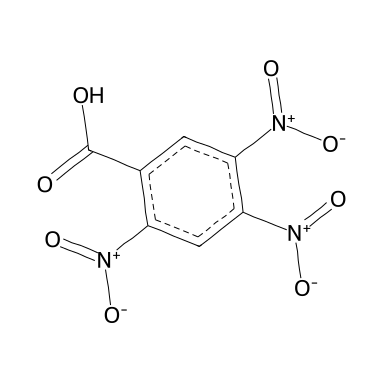 O=C(O)c1cc([N+](=O)[O-])c([N+](=O)[O-])cc1[N+](=O)[O-]